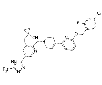 N#CC1(Cc2cc(-c3nnc(C(F)(F)F)[nH]3)cnc2CN2CC=C(c3cccc(OCc4ccc(Cl)cc4F)n3)CC2)CC1